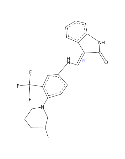 CC1CCCN(c2ccc(N/C=C3/C(=O)Nc4ccccc43)cc2C(F)(F)F)C1